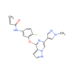 C=CC(=O)Nc1ccc(F)c(Oc2nc(-c3cnn(C)c3)cn3nccc23)c1